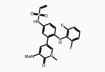 C=CS(=O)(=O)Nc1ccc(Nc2c(F)cccc2F)c(-c2cc(NC)c(=O)n(C)c2)c1